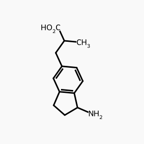 CC(Cc1ccc2c(c1)CCC2N)C(=O)O